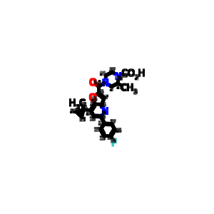 C[C@H]1CN(C(=O)c2cc3nc(-c4ccc(F)cc4)cc(C4(C)CC4)c3o2)CCN1C(=O)O